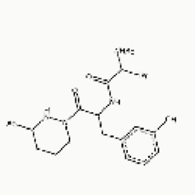 CC(=O)NC(C(=O)NC(Cc1cccc(O)c1)C(=O)N1CCCC(C(C)=O)N1)C(C)C